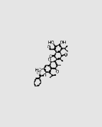 CC1=C(C2=C(C)C(=O)c3c(c(C=O)c(O)c(O)c3C(C)C)C2=O)C(=O)c2cc(O)c(OC(=O)C3CCCCC3)c(C(C)C)c2C1=O